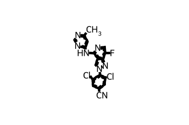 Cc1cc(Nc2ncc(F)c3nn(-c4c(Cl)cc(C#N)cc4Cl)cc23)ncn1